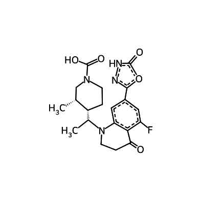 CC([C@H]1CCN(C(=O)O)C[C@H]1C)N1CCC(=O)c2c(F)cc(-c3n[nH]c(=O)o3)cc21